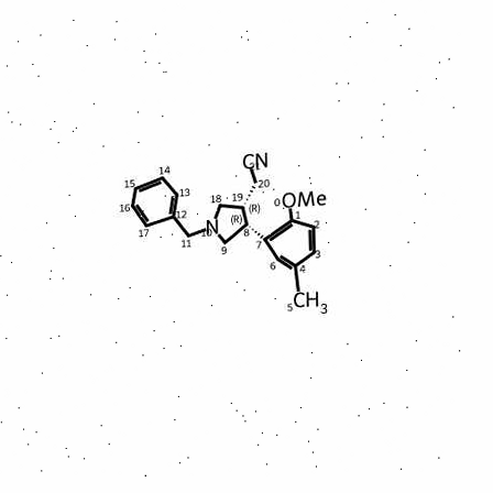 COc1ccc(C)cc1[C@@H]1CN(Cc2ccccc2)C[C@@H]1CC#N